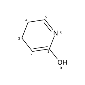 OC1=CCCC=N1